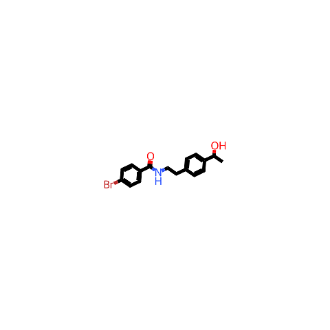 CC(O)c1ccc(CCNC(=O)c2ccc(Br)cc2)cc1